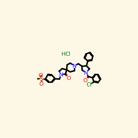 CS(=O)(=O)c1ccc(CN2CCC3(CCN(CC4CN(C(=O)c5ccccc5Cl)CC4c4ccccc4)CC3)C2=O)cc1.Cl